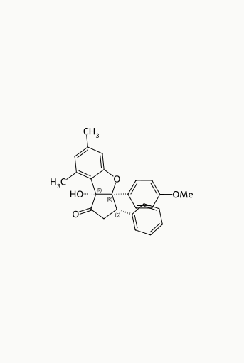 COc1ccc([C@@]23Oc4cc(C)cc(C)c4[C@]2(O)C(=O)C[C@H]3c2ccccc2)cc1